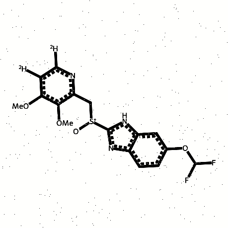 [2H]c1nc(C[S+]([O-])c2nc3ccc(OC(F)F)cc3[nH]2)c(OC)c(OC)c1[2H]